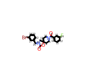 O=C1OC2(CCN(C(=O)c3cccc(F)c3)CC2)CN1Cc1cccc(Br)c1